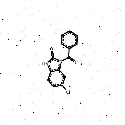 C=C(c1ccccc1)n1c(=O)[nH]c2ccc(Cl)cc21